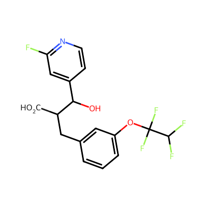 O=C(O)C(Cc1cccc(OC(F)(F)C(F)F)c1)C(O)c1ccnc(F)c1